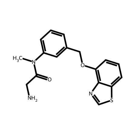 CN(C(=O)CN)c1cccc(COc2cccc3scnc23)c1